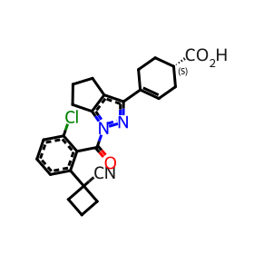 N#CC1(c2cccc(Cl)c2C(=O)n2nc(C3=CC[C@@H](C(=O)O)CC3)c3c2CCC3)CCC1